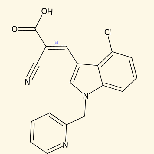 N#C/C(=C\c1cn(Cc2ccccn2)c2cccc(Cl)c12)C(=O)O